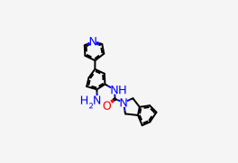 Nc1ccc(-c2ccncc2)cc1NC(=O)N1Cc2ccccc2C1